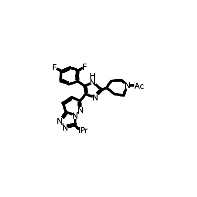 CC(=O)N1CCC(c2nc(-c3ccc4nnc(C(C)C)n4n3)c(-c3ccc(F)cc3F)[nH]2)CC1